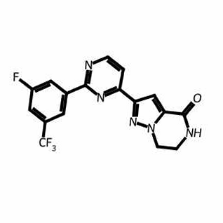 O=C1NCCn2nc(-c3ccnc(-c4cc(F)cc(C(F)(F)F)c4)n3)cc21